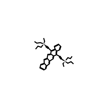 CCC[Si](C#Cc1c2ccccc2c(C#C[Si](CC)(CCC)CCC)c2cc3cc4ccccc4cc3cc12)(CC)CCC